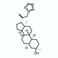 C=C(Cn1ncnn1)[C@H]1CC[C@H]2[C@@H]3CC[C@@H]4C[C@](C)(O)CC[C@@H]4[C@H]3CC[C@]12C